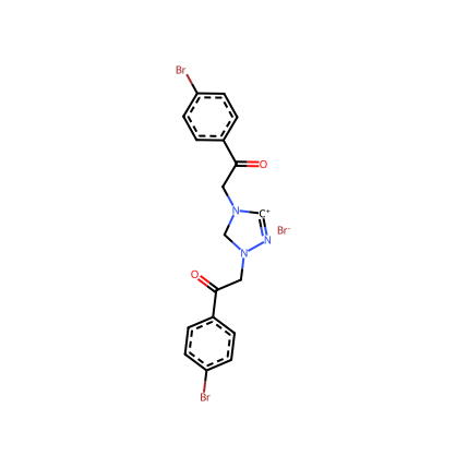 O=C(CN1[C+]=NN(CC(=O)c2ccc(Br)cc2)C1)c1ccc(Br)cc1.[Br-]